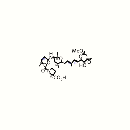 CO[C@]1(C)C[C@@]2(CO2)[C@H](O)C(/C=C/C(C)=C/C[C@@H]2O[C@H](C)[C@H](NC(=O)/C=C\[C@H](C)OC(=O)N3CC[C@H](C(=O)O)C3)C[C@@H]2C)O1